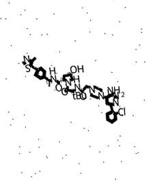 Cc1ncsc1-c1ccc([C@H](C)NC(=O)[C@@H]2C[C@@H](O)CN2C(=O)[C@@H](NC(=O)CN2CCN(c3cc(-c4ccccc4Cl)nnc3N)CC2)C(C)(C)C)cc1